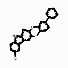 Clc1ccc2[nH]c3cc4c(cc3c2c1)Oc1ccc(-c2ccccc2)cc1O4